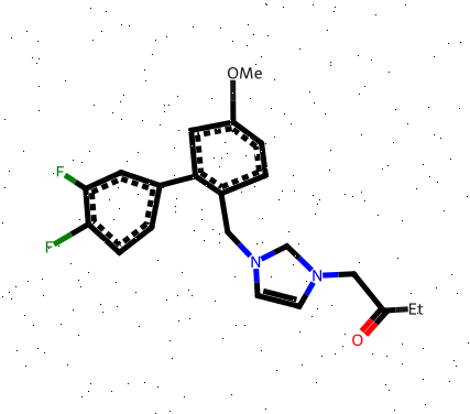 CCC(=O)CN1C=CN(Cc2ccc(OC)cc2-c2ccc(F)c(F)c2)C1